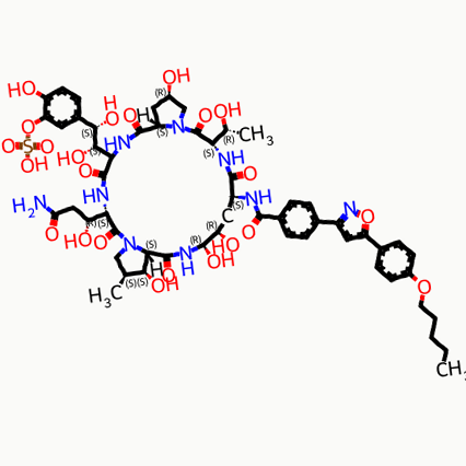 CCCCCOc1ccc(-c2cc(-c3ccc(C(=O)N[C@H]4C[C@@H](O)[C@@H](O)NC(=O)[C@@H]5[C@@H](O)[C@@H](C)CN5C(=O)[C@H]([C@H](O)CC(N)=O)NC(=O)C([C@H](O)[C@@H](O)c5ccc(O)c(OS(=O)(=O)O)c5)NC(=O)[C@@H]5C[C@@H](O)CN5C(=O)[C@H]([C@@H](C)O)NC4=O)cc3)no2)cc1